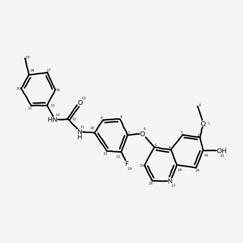 COc1cc2c(Oc3ccc(NC(=O)Nc4ccc(C)cc4)cc3F)ccnc2cc1O